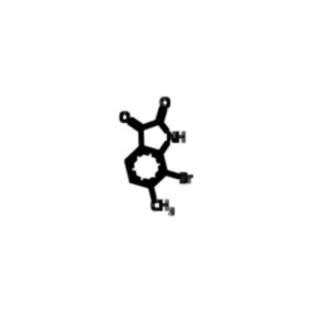 Cc1ccc2c(c1Br)NC(=O)C2=O